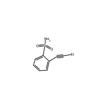 CCC#Cc1ccccc1S(N)(=O)=O